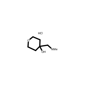 CNCC1(O)CCOCC1.Cl